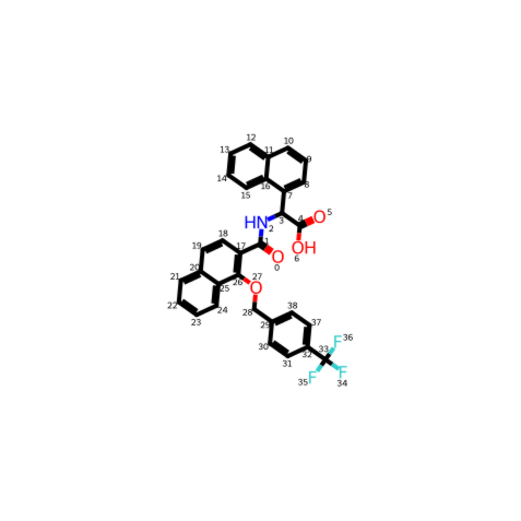 O=C(NC(C(=O)O)c1cccc2ccccc12)c1ccc2ccccc2c1OCc1ccc(C(F)(F)F)cc1